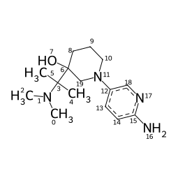 CN(C)C(C)(C)C1(O)CCCN(c2ccc(N)nc2)C1